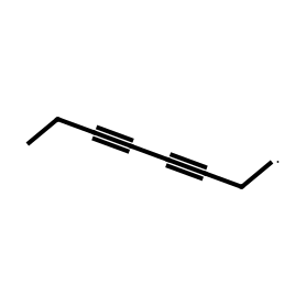 [CH2]CC#CC#CCC